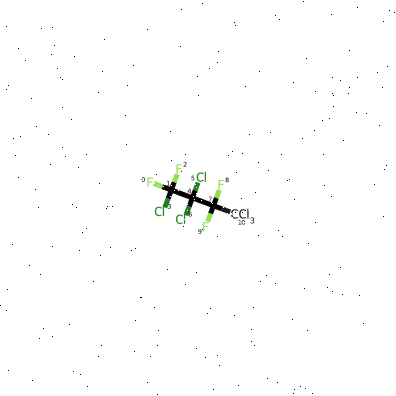 FC(F)(Cl)C(Cl)(Cl)C(F)(F)C(Cl)(Cl)Cl